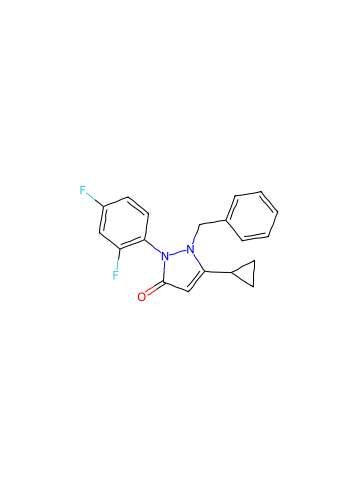 O=c1cc(C2CC2)n(Cc2ccccc2)n1-c1ccc(F)cc1F